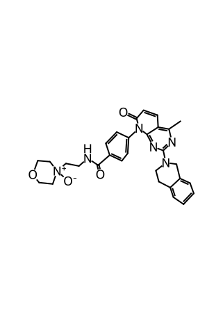 Cc1nc(N2CCc3ccccc3C2)nc2c1ccc(=O)n2-c1ccc(C(=O)NCC[N+]2([O-])CCOCC2)cc1